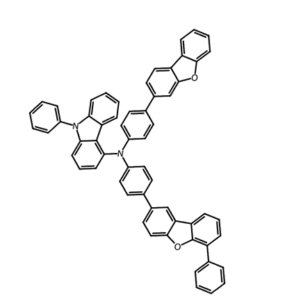 c1ccc(-c2cccc3c2oc2ccc(-c4ccc(N(c5ccc(-c6ccc7c(c6)oc6ccccc67)cc5)c5cccc6c5c5ccccc5n6-c5ccccc5)cc4)cc23)cc1